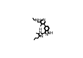 CCCc1nc(-c2n[nH]c3ccc(-c4cncc(CNCC)c4C)cc23)[nH]c1C